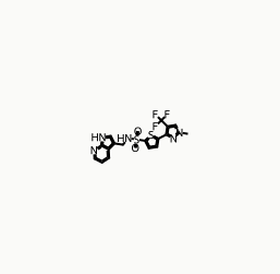 Cn1cc(C(F)(F)F)c(-c2ccc(S(=O)(=O)NCc3c[nH]c4ncccc34)s2)n1